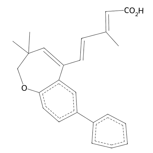 CC(/C=C/C1=CC(C)(C)COc2ccc(-c3ccccc3)cc21)=C\C(=O)O